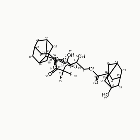 O=C(OCC(O)COC(=O)C12CC3CC(CC(O)(C3)C1)C2)C12CC3CC(C1)C(OC(=O)C(F)(F)S(=O)(=O)O)C(C3)C2